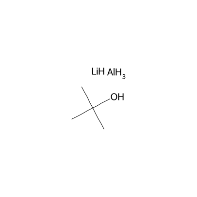 CC(C)(C)O.[AlH3].[LiH]